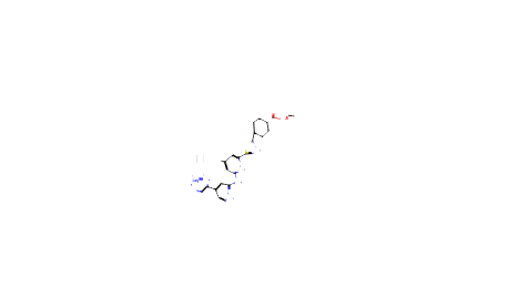 CCOC(=O)[C@H]1CC[C@@](O)(c2ncc(-c3cc(C)cc(Nc4cc(-c5c[nH]nn5)ccn4)n3)s2)CC1